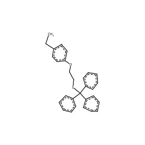 CCc1ccc(OCCSC(c2ccccc2)(c2ccccc2)c2ccccc2)cc1